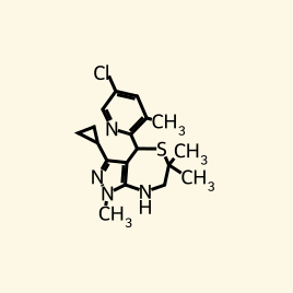 Cc1cc(Cl)cnc1C1SC(C)(C)CNc2c1c(C1CC1)nn2C